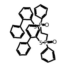 O=P(CCP(=O)(Sc1ccccc1-c1ccccc1)c1ccccc1)(Sc1ccccc1-c1ccccc1)c1ccccc1